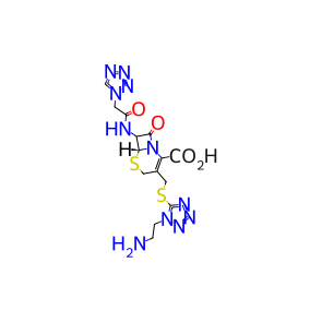 NCCn1nnnc1SCC1=C(C(=O)O)N2C(=O)C(NC(=O)Cn3cnnn3)[C@H]2SC1